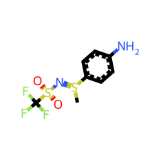 C/S(=N\S(=O)(=O)C(F)(F)F)c1ccc(N)cc1